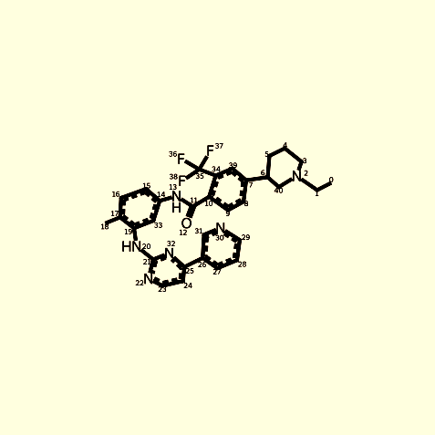 CCN1CCCC(c2ccc(C(=O)Nc3ccc(C)c(Nc4nccc(-c5cccnc5)n4)c3)c(C(F)(F)F)c2)C1